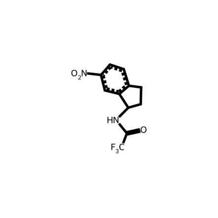 O=C(NC1CCc2ccc([N+](=O)[O-])cc21)C(F)(F)F